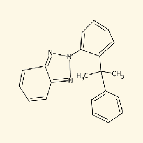 CC(C)(c1ccccc1)c1ccccc1-n1nc2ccccc2n1